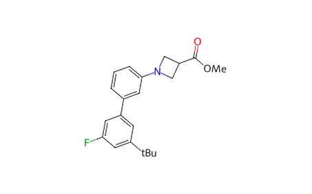 COC(=O)C1CN(c2cccc(-c3cc(F)cc(C(C)(C)C)c3)c2)C1